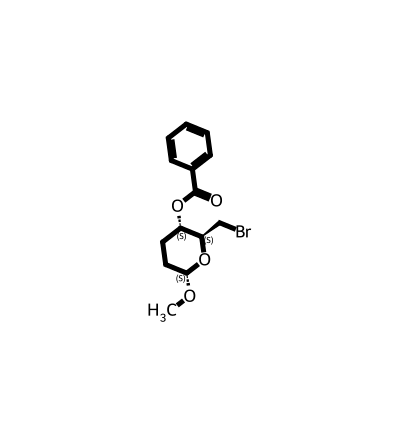 CO[C@@H]1CC[C@H](OC(=O)c2ccccc2)[C@@H](CBr)O1